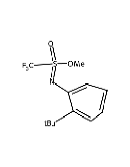 COS(=O)(=Nc1ccccc1C(C)(C)C)C(F)(F)F